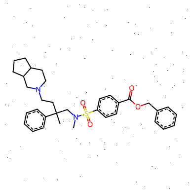 CN(CC(C)(CCN1CCC2CCCC2C1)c1ccccc1)S(=O)(=O)c1ccc(C(=O)OCc2ccccc2)cc1